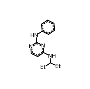 CCC(CC)Nc1ccnc(Nc2ccccc2)n1